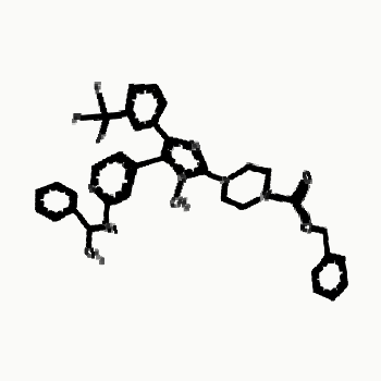 CC(Nc1cc(-c2c(-c3cccc(C(F)(F)F)c3)nc(N3CCN(C(=O)OCc4ccccc4)CC3)n2C)ccn1)c1ccccc1